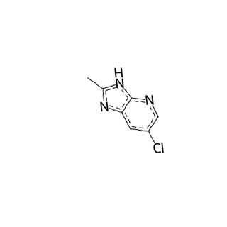 Cc1nc2cc(Cl)cnc2[nH]1